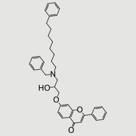 O=c1cc(-c2ccccc2)oc2cc(OCC(O)CN(CCCCCCCCc3ccccc3)Cc3ccccc3)ccc12